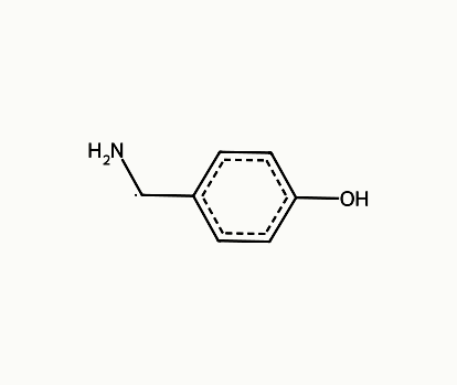 N[CH]c1ccc(O)cc1